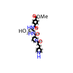 COC(=O)c1ccc(C(=O)NC(CNC(=O)[C@@H]2CCCN(C(=O)CCC3CCNCC3)C2)C(=O)O)cc1